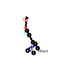 C=C(C)C(=O)OCCCCOc1ccc(-c2ccc(C#Cc3ccc4c(/C=N/N(CC5CCCCC5)c5nc6ccccc6s5)c(-c5ccc(CCCCC)cc5)ccc4c3)cc2)c(F)c1